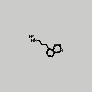 SNCCCc1cccc2cnccc12